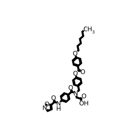 CCCCCCCOc1ccc(C(=O)Oc2ccc(CN(CC(=O)O)C(=O)c3ccc(NC(=O)c4ccno4)cc3)cc2)cc1